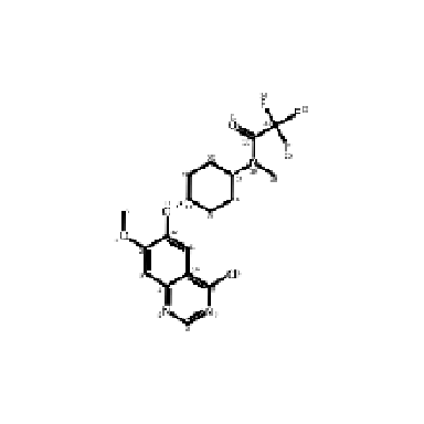 COc1cc2ncnc(Cl)c2cc1O[C@H]1CC[C@H](N(C)C(=O)C(F)(F)F)CC1